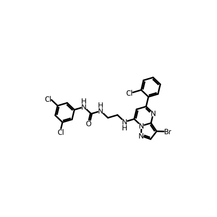 O=C(NCCNc1cc(-c2ccccc2Cl)nc2c(Br)cnn12)Nc1cc(Cl)cc(Cl)c1